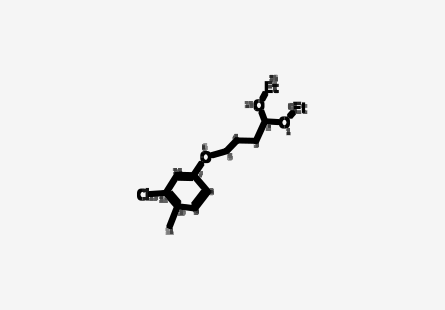 CCOC(CCCOc1ccc(C)c(Cl)c1)OCC